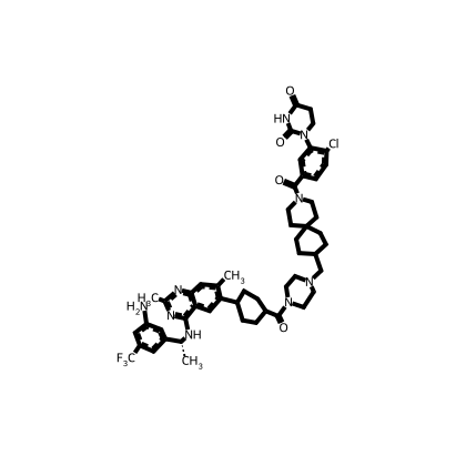 Cc1nc(N[C@H](C)c2cc(N)cc(C(F)(F)F)c2)c2cc(C3CCC(C(=O)N4CCN(CC5CCC6(CC5)CCN(C(=O)c5ccc(Cl)c(N7CCC(=O)NC7=O)c5)CC6)CC4)CC3)c(C)cc2n1